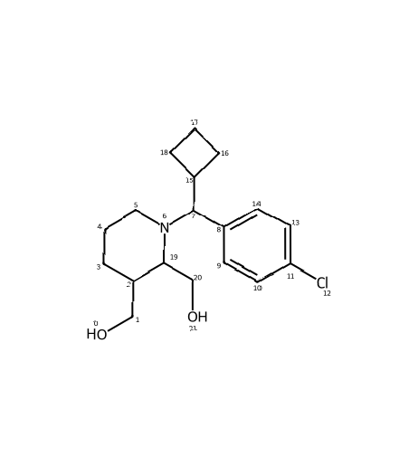 OCC1CCCN(C(c2ccc(Cl)cc2)C2CCC2)C1CO